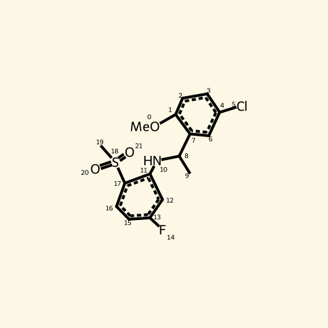 COc1ccc(Cl)cc1C(C)Nc1cc(F)ccc1S(C)(=O)=O